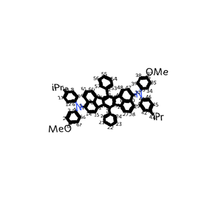 COc1ccc(N(c2ccc(C(C)C)cc2)c2ccc3c4c(-c5ccccc5)c5c6cccc7c(N(c8ccc(OC)cc8)c8ccc(C(C)C)cc8)ccc(c5c(-c5ccccc5)c4c4cccc2c43)c76)cc1